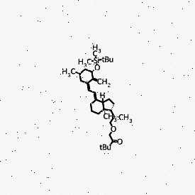 C=C1/C(=C\C=C2/CCC[C@]3(C)[C@@H]([C@H](C)COCC(=O)C(C)(C)C)CC[C@@H]23)C[C@@H](C)C[C@@H]1O[Si](C)(C)C(C)(C)C